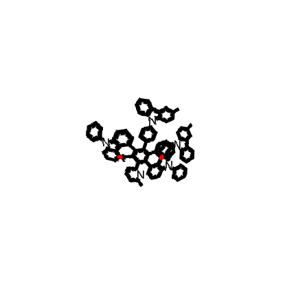 Cc1ccc2c(c1)c1ccccc1n2-c1ccc(-c2c(-c3cccc4c3c3ccccc3n4-c3ccccc3)c(C#N)c(-c3cccc(C)n3)c(-c3cccc4c3c3ccccc3n4-c3ccccc3)c2-c2ccc(-n3c4ccccc4c4cc(C)ccc43)cc2)cc1